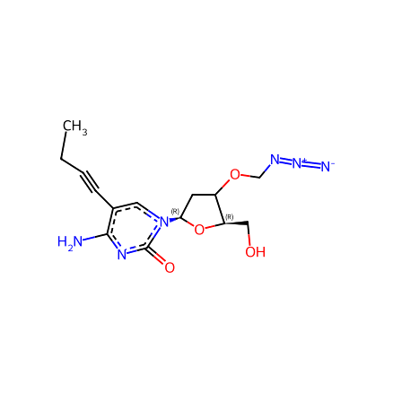 CCC#Cc1cn([C@H]2CC(OCN=[N+]=[N-])[C@@H](CO)O2)c(=O)nc1N